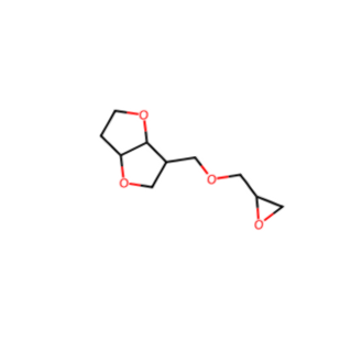 C1CC2OCC(COCC3CO3)C2O1